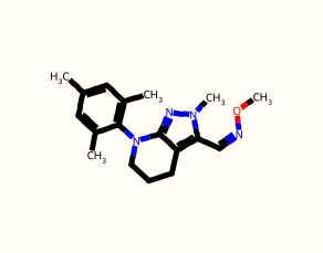 CO/N=C\c1c2c(nn1C)N(c1c(C)cc(C)cc1C)CCC2